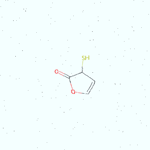 O=C1OC=CC1S